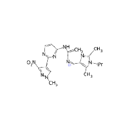 C=C(/N=C\c1nc(C)n(C(C)C)c1C)Nc1ccnc(-c2cn(C)nc2[N+](=O)[O-])n1